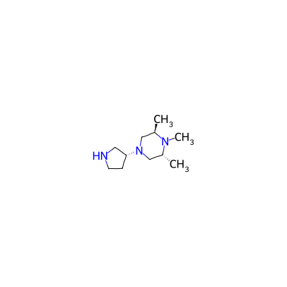 C[C@@H]1CN([C@@H]2CCNC2)C[C@@H](C)N1C